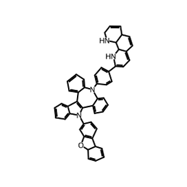 C1=CC2Oc3cc(-n4c5c(c6ccccc64)-c4ccccc4N(c4ccc(C6=CC=C7C=CC8C=CCNC8C7N6)cc4)c4ccccc4-5)ccc3C2C=C1